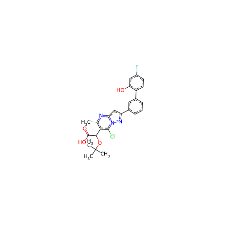 Cc1nc2cc(-c3cccc(-c4ccc(F)cc4O)c3)nn2c(Cl)c1C(OC(C)(C)C)C(=O)O